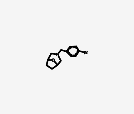 Brc1ccc(CN2CC3CCC(C2)O3)cc1